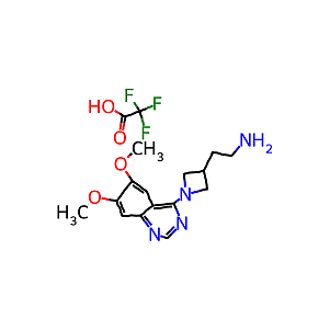 COc1cc2ncnc(N3CC(CCN)C3)c2cc1OC.O=C(O)C(F)(F)F